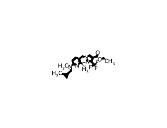 CCOC(=O)c1cn(Cc2ccc(N(C)CC3CC3C)nc2C)nc1C(F)(F)F